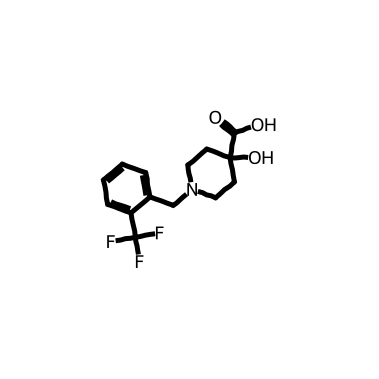 O=C(O)C1(O)CCN(Cc2ccccc2C(F)(F)F)CC1